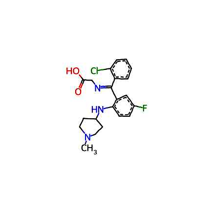 CN1CCC(Nc2ccc(F)cc2C(=NCC(=O)O)c2ccccc2Cl)CC1